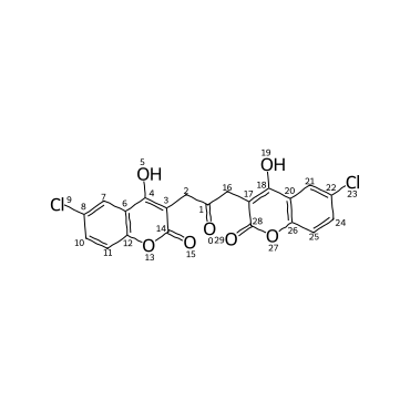 O=C(Cc1c(O)c2cc(Cl)ccc2oc1=O)Cc1c(O)c2cc(Cl)ccc2oc1=O